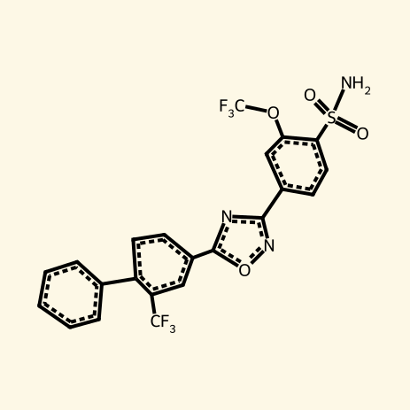 NS(=O)(=O)c1ccc(-c2noc(-c3ccc(-c4ccccc4)c(C(F)(F)F)c3)n2)cc1OC(F)(F)F